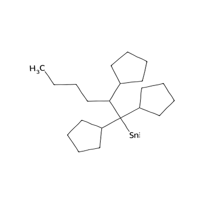 CCCCC(C1CCCC1)[C]([Sn])(C1CCCC1)C1CCCC1